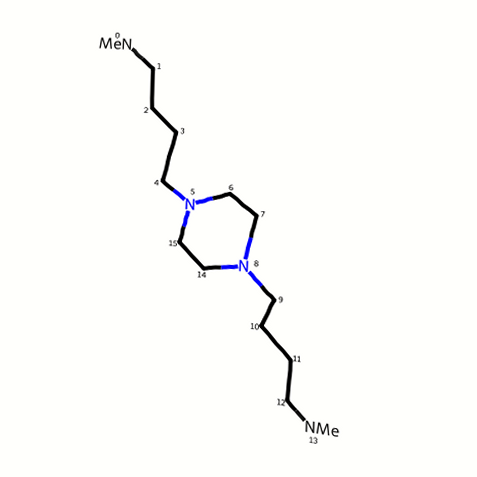 CNCCCCN1CCN(CCCCNC)CC1